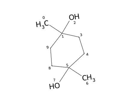 CC1(O)CCC(C)(O)CC1